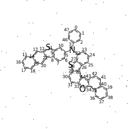 c1ccc(N(c2ccc3c(c2)sc2cc4ccccc4cc23)c2cccc3c2sc2ccc4oc5c6ccccc6ccc5c4c23)cc1